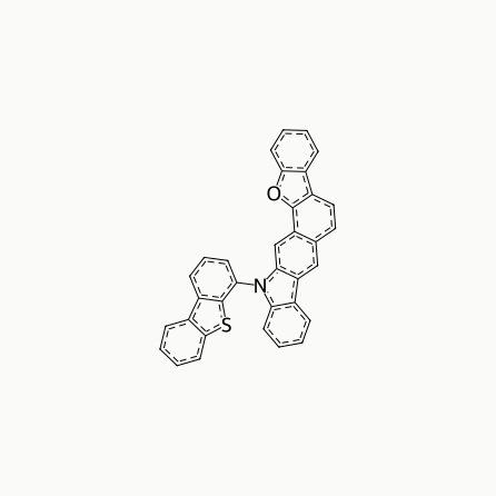 c1ccc2c(c1)oc1c3cc4c(cc3ccc21)c1ccccc1n4-c1cccc2c1sc1ccccc12